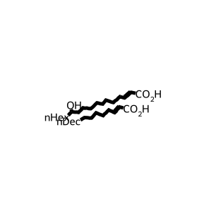 CCCCCCC(O)CCCCCCCCC=CC(=O)O.CCCCCCCCCCCCCCCC=CC(=O)O